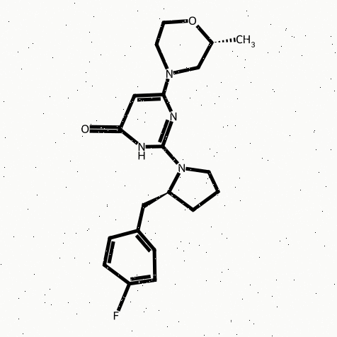 C[C@@H]1CN(c2cc(=O)[nH]c(N3CCC[C@H]3Cc3ccc(F)cc3)n2)CCO1